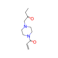 C=CC(=O)N1CCN(CC(=O)CC)CC1